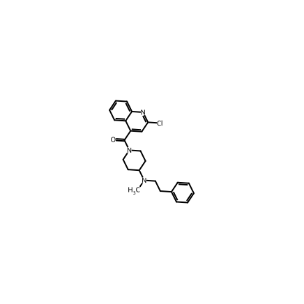 CN(CCc1ccccc1)C1CCN(C(=O)c2cc(Cl)nc3ccccc23)CC1